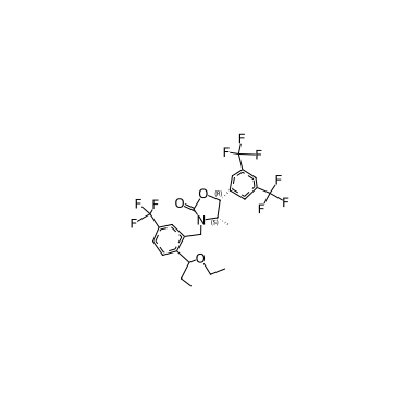 CCOC(CC)c1ccc(C(F)(F)F)cc1CN1C(=O)O[C@H](c2cc(C(F)(F)F)cc(C(F)(F)F)c2)[C@@H]1C